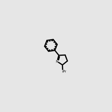 CC(C)C1CCC(c2ccccc2)=N1